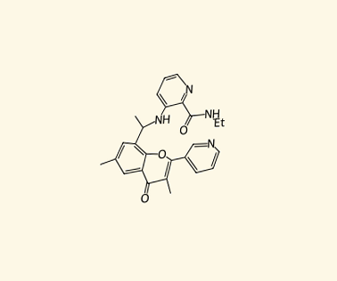 CCNC(=O)c1ncccc1NC(C)c1cc(C)cc2c(=O)c(C)c(-c3cccnc3)oc12